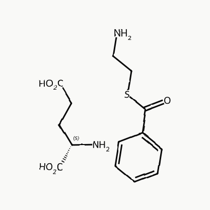 NCCSC(=O)c1ccccc1.N[C@@H](CCC(=O)O)C(=O)O